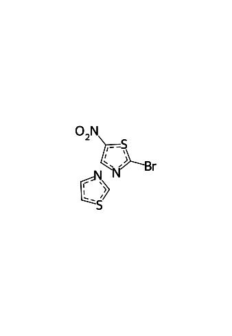 O=[N+]([O-])c1cnc(Br)s1.c1cscn1